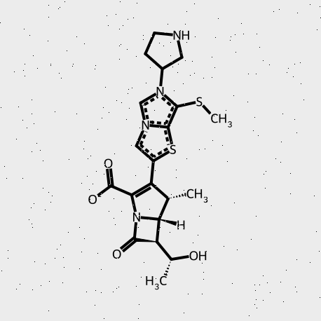 CSc1c2sc(C3=C(C(=O)[O-])N4C(=O)[C@H]([C@@H](C)O)[C@H]4[C@H]3C)c[n+]2cn1C1CCNC1